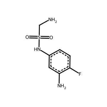 NCS(=O)(=O)Nc1ccc(F)c(N)c1